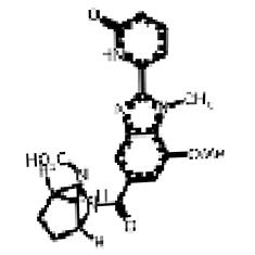 COc1cc(C(=O)N2C[C@H]3CC[C@@H]2[C@@H]3NC(=O)O)cc2nc(-c3cccc(=O)[nH]3)n(C)c12